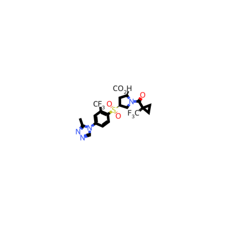 Cc1nncn1-c1ccc(S(=O)(=O)[C@@H]2C[C@@H](C(=O)O)N(C(=O)C3(C(F)(F)F)CC3)C2)c(C(F)(F)F)c1